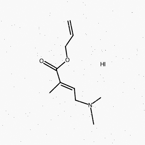 C=CCOC(=O)C(C)=CCN(C)C.I